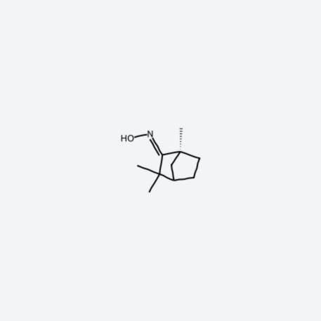 CC1(C)/C(=N\O)[C@@]2(C)CCC1C2